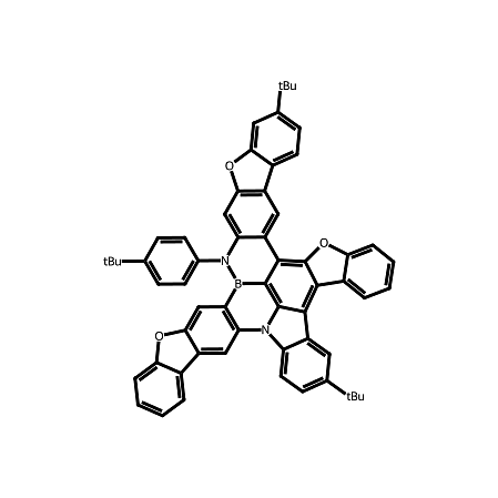 CC(C)(C)c1ccc(N2B3c4cc5oc6ccccc6c5cc4-n4c5ccc(C(C)(C)C)cc5c5c6c(oc7ccccc76)c(c3c54)-c3cc4c(cc32)oc2cc(C(C)(C)C)ccc24)cc1